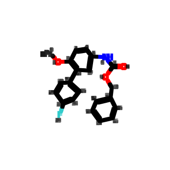 CCCOc1ccc(NC(=O)OCc2ccccc2)cc1-c1ccc(F)cc1